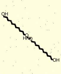 OCCCCCCCCCCCONOCCCCCCCCCCCO